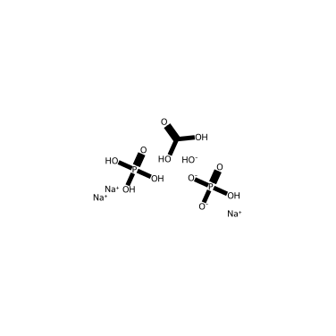 O=C(O)O.O=P(O)(O)O.O=P([O-])([O-])O.[Na+].[Na+].[Na+].[OH-]